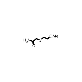 COCCSCC(N)=O